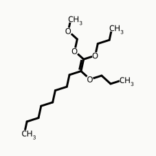 CCCCCCCCC(OCCC)=C(OCCC)OCOC